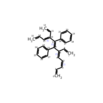 C=C\C=C/C=C(C=C)/C(=C(/C(C=C)=C/C=C)c1ccccc1)c1ccccc1